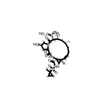 CC[C@@H]1C[C@H](C)CC/C=C\[C@@H]2C[C@@]2(C(=O)NS(=O)(=O)C2(C)CC2)NC(=O)[C@@H]2C[C@@H](O)CN2C(=O)[C@H]1N(C(=O)O)C(C)(C)C